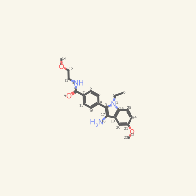 CCn1c(-c2ccc(C(=O)NCCOC)cc2)c(N)c2cc(OC)ccc21